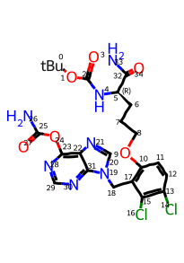 CC(C)(C)OC(=O)N[C@H](CCCOc1ccc(Cl)c(Cl)c1Cn1cnc2c(OC(N)=O)ncnc21)C(N)=O